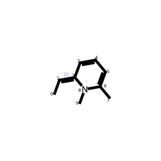 C/C=C1/C=CC=C(C)N1C